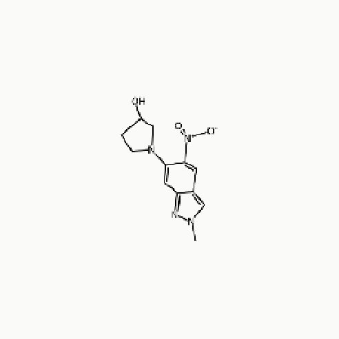 Cn1cc2cc([N+](=O)[O-])c(N3CCC(O)C3)cc2n1